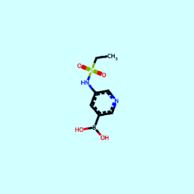 CCS(=O)(=O)Nc1cncc(B(O)O)c1